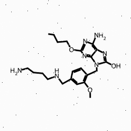 CCCCOc1nc(N)c2nc(O)n(Cc3ccc(CNCCCCN)cc3OC)c2n1